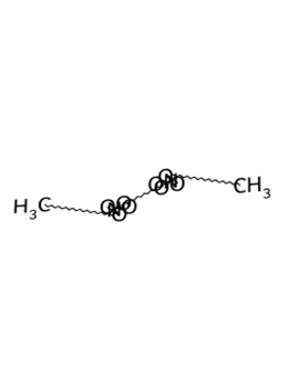 CCCCCCCCCCCCCCCCCCC1CC(=O)N(CCOC(=O)CCCCCCCCC(=O)OCCN2C(=O)CC(CCCCCCCCCCCCCCCCCC)C2=O)C1=O